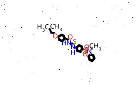 CCN(c1ccccc1)S(=O)(=O)c1ccc(NC(=S)NC(=O)c2ccc(OCCC(C)C)cc2)cc1